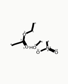 CCOC(C)=O.CO.C[N+](=O)[O-]